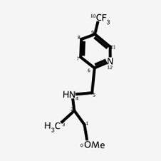 COCC(C)NCc1ccc(C(F)(F)F)cn1